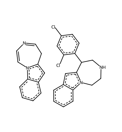 C1=Cn2c(cc3ccccc32)CC=N1.Clc1ccc(C2CNCCn3c2cc2ccccc23)c(Cl)c1